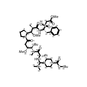 CC[C@H](C)[C@@H]([C@@H](CC(=O)N1CCC[C@H]1[C@H](OC)[C@@H](C)C(=O)N[C@@H](Cc1ccccc1)P(=O)(O)CC(=O)OC)OC)N(C)C(=O)[C@@H](NC(N(C)C)N1CCN(C(=O)OC(C)(C)C)CC1)C(C)C